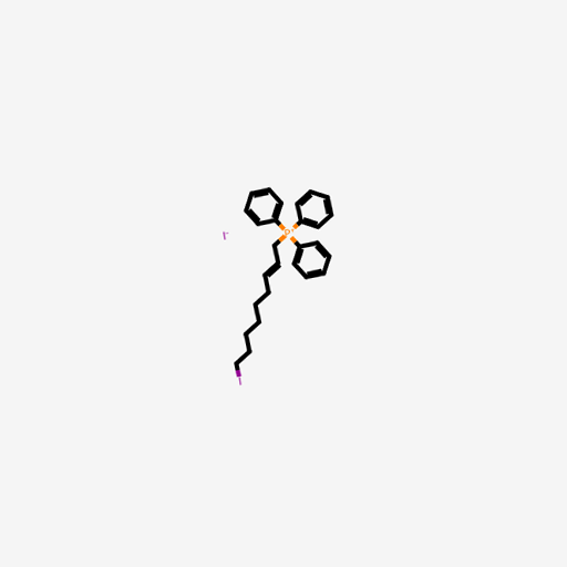 ICCCCCCC=CC[P+](c1ccccc1)(c1ccccc1)c1ccccc1.[I-]